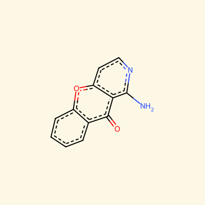 Nc1nccc2oc3ccccc3c(=O)c12